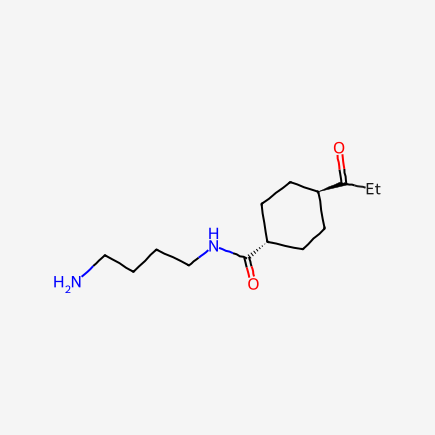 CCC(=O)[C@H]1CC[C@H](C(=O)NCCCCN)CC1